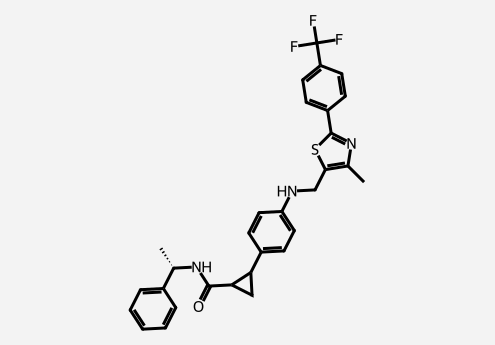 Cc1nc(-c2ccc(C(F)(F)F)cc2)sc1CNc1ccc(C2CC2C(=O)N[C@@H](C)c2ccccc2)cc1